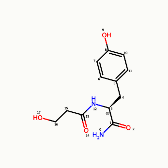 NC(=O)[C@H](Cc1ccc(O)cc1)NC(=O)CCO